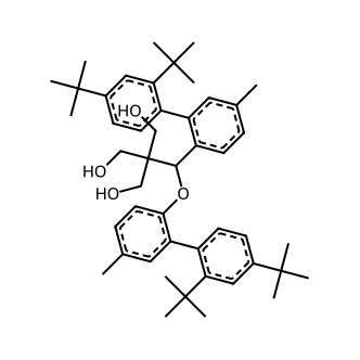 Cc1ccc(OC(c2ccc(C)cc2-c2ccc(C(C)(C)C)cc2C(C)(C)C)C(CO)(CO)CO)c(-c2ccc(C(C)(C)C)cc2C(C)(C)C)c1